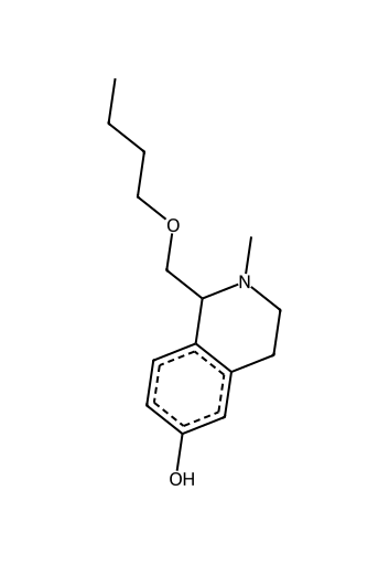 CCCCOCC1c2ccc(O)cc2CCN1C